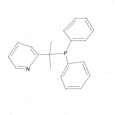 CC(C)(c1ccccn1)P(c1ccccc1)c1ccccc1